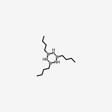 CCC[CH2][Bi]1[NH][Bi]([CH2]CCC)[NH][Bi]([CH2]CCC)[NH]1